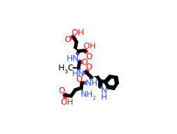 C[C@H](NC(=O)[C@H](Cc1c[nH]c2ccccc12)NC(=O)[C@@H](N)CCC(=O)O)C(=O)N[C@@H](CCC(=O)O)C(=O)O